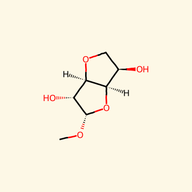 CO[C@H]1O[C@H]2[C@H](OC[C@H]2O)[C@H]1O